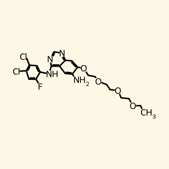 CCOCCOCCOCCOc1cc2ncnc(Nc3cc(Cl)c(Cl)cc3F)c2cc1N